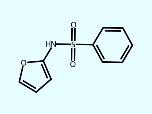 O=S(=O)(Nc1ccco1)c1ccccc1